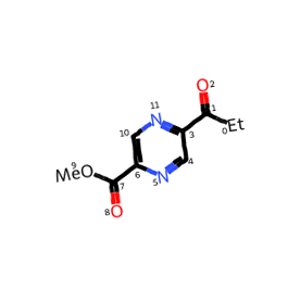 CCC(=O)c1cnc(C(=O)OC)cn1